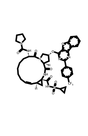 O=C1N[C@]2(C(=O)NS(=O)(=O)C3CC3)C[C@H]2/C=C\CCCCC[C@H](NC(=O)N2CCCC2)C(=O)N2C[C@H](Oc3nc(-c4ccc(C(F)(F)F)cc4)nc4c3oc3ccccc34)C[C@@H]12